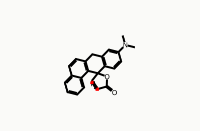 CN(C)c1ccc2c(c1)Cc1ccc3ccccc3c1C21OC(=O)c2cccnc21